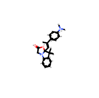 CC(=CC12OC(=O)CN1c1ccccc1C2(C)C)c1ccc(N(C)C)cc1